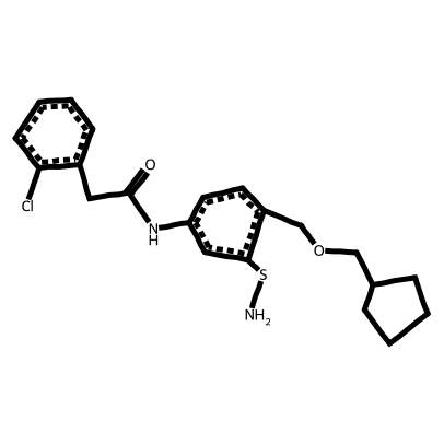 NSc1cc(NC(=O)Cc2ccccc2Cl)ccc1COCC1CCCC1